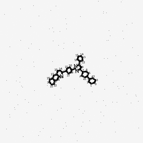 c1ccc(-c2ccc(-c3cc(-c4ccccc4)nc(-c4ccc(-c5ccc6cc7ccccc7cc6n5)cc4)n3)cc2)cc1